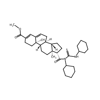 COC(=O)C1=CC2=CC[C@H]3[C@@H]4CC[C@H](C(=O)N(C(=S)NC5CCCCC5)C5CCCCC5)[C@@]4(C)CC[C@@H]3[C@@]2(C)CC1